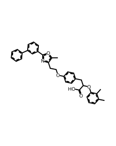 Cc1cccc(OC(Cc2ccc(OCCc3nc(-c4cccc(-c5ccccc5)c4)oc3C)cc2)C(=O)O)c1C